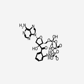 CNc1ccccc1C(=O)[C@]1(O)C[C@H](n2cnc3c(N)ncnc32)O[C@@H]1COP(=O)(O)OP(=O)(O)OP(=O)(O)O